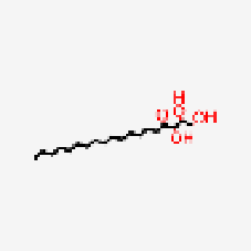 CCCCCCCCCCCCCCCC(=O)[C@H](O)C(O)CO